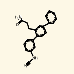 N#CNc1cccc(-c2ccc(-c3ccccc3)cc2CCC(N)=O)c1